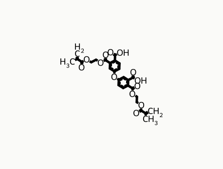 C=C(C)C(=O)OCCOC(=O)c1ccc(Oc2ccc(C(=O)O)c(C(=O)OCCOC(=O)C(=C)C)c2)cc1C(=O)O